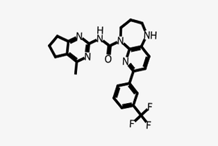 Cc1nc(NC(=O)N2CCCNc3ccc(-c4cccc(C(F)(F)F)c4)nc32)nc2c1CCC2